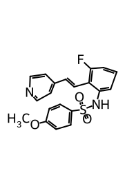 COc1ccc(S(=O)(=O)Nc2cccc(F)c2C=Cc2ccncc2)cc1